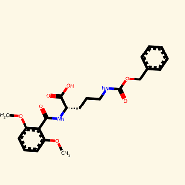 COc1cccc(OC)c1C(=O)N[C@@H](CCCNC(=O)OCc1ccccc1)C(=O)O